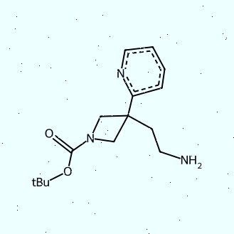 CC(C)(C)OC(=O)N1CC(CCN)(c2ccccn2)C1